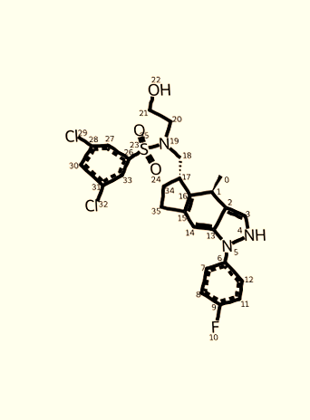 C[C@H]1C2=CNN(c3ccc(F)cc3)C2=CC2=C1[C@@H](CN(CCO)S(=O)(=O)c1cc(Cl)cc(Cl)c1)CC2